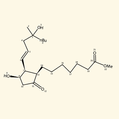 CCCCC(C)(O)CC=C[C@@H]1[C@H](O)CC(=O)[C@@H]1CCCCCCC(=O)OC